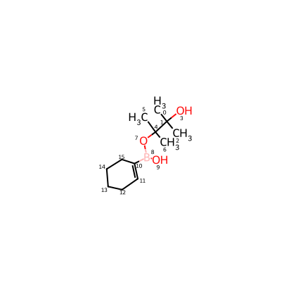 CC(C)(O)C(C)(C)OB(O)C1=CCCCC1